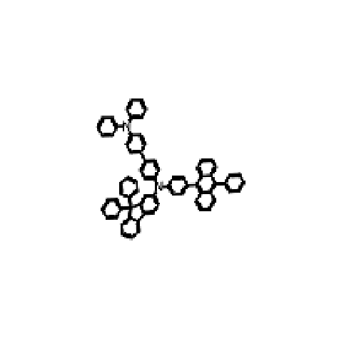 c1ccc(-c2c3ccccc3c(-c3ccc(N(c4ccc(-c5ccc(N(c6ccccc6)c6ccccc6)cc5)cc4)c4ccc5c(c4)C(c4ccccc4)(c4ccccc4)c4ccccc4-5)cc3)c3ccccc23)cc1